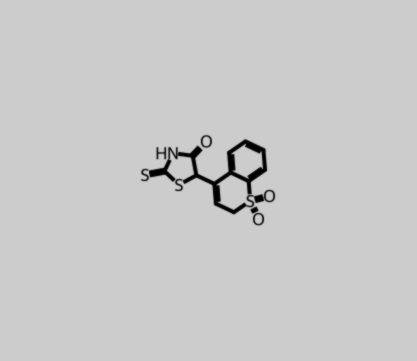 O=C1NC(=S)SC1C1=CCS(=O)(=O)c2ccccc21